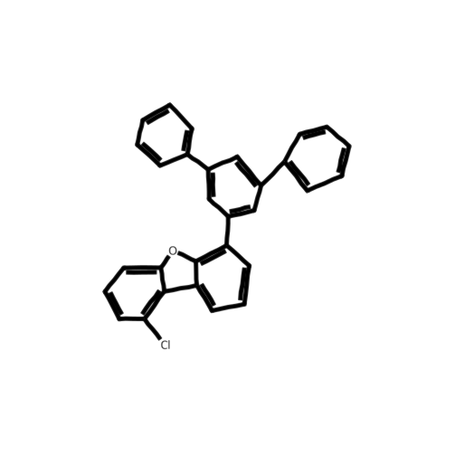 Clc1cccc2oc3c(-c4cc(-c5ccccc5)cc(-c5ccccc5)c4)cccc3c12